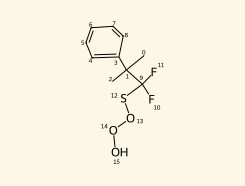 CC(C)(c1ccccc1)C(F)(F)SOOO